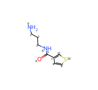 NCCCNC(=O)c1ccsc1